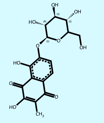 CC1=C(O)C(=O)c2c(ccc(O[C@@H]3OC(CO)[C@@H](O)[C@H](O)[C@H]3O)c2O)C1=O